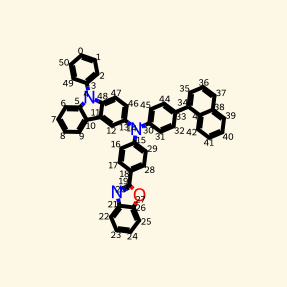 c1ccc(-n2c3ccccc3c3cc(N(c4ccc(-c5nc6ccccc6o5)cc4)c4ccc(-c5cccc6ccccc56)cc4)ccc32)cc1